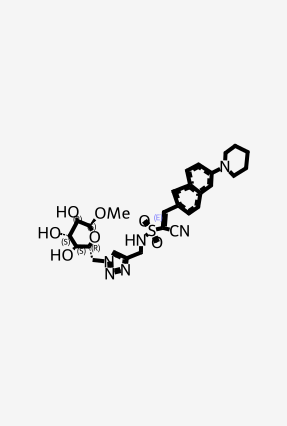 CO[C@H]1O[C@H](Cn2cc(CNS(=O)(=O)/C(C#N)=C/c3ccc4cc(N5CCCCC5)ccc4c3)nn2)[C@@H](O)[C@H](O)[C@H]1O